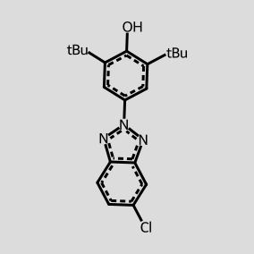 CC(C)(C)c1cc(-n2nc3ccc(Cl)cc3n2)cc(C(C)(C)C)c1O